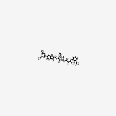 CCOC(=O)C(Cc1ccc(F)cc1)NC(=O)CNC(=O)C(N)CCc1nc2cc(N(CCCl)CCCl)ccc2n1C